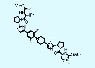 COC(=O)N[C@@H](CC(F)(F)F)C(=O)N1CCC[C@H]1c1ncc(C2CCN(c3c(F)cc(-c4cnc([C@@H]5CCCN5C(=O)[C@@H](NC(=O)OC)C(C)C)[nH]4)cc3F)CC2)[nH]1